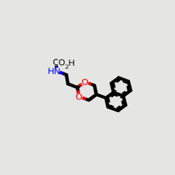 O=C(O)NCCC1OCC(c2cccc3ccccc23)CO1